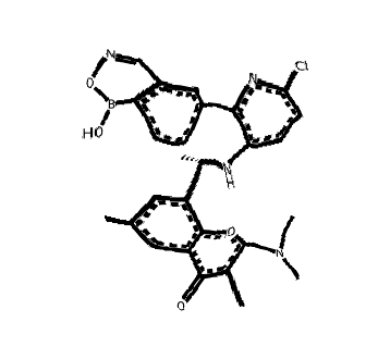 Cc1cc([C@H](C)Nc2ccc(Cl)nc2-c2ccc3c(c2)C=NOB3O)c2oc(N(C)C)c(C)c(=O)c2c1